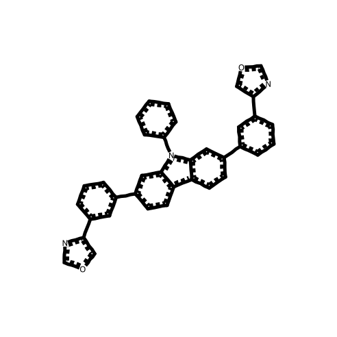 c1ccc(-n2c3cc(-c4cccc(-c5cocn5)c4)ccc3c3ccc(-c4cccc(-c5cocn5)c4)cc32)cc1